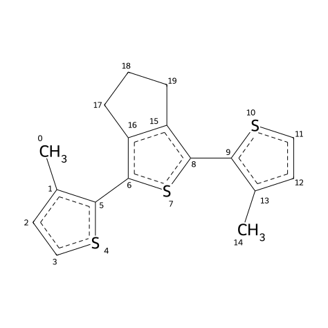 Cc1ccsc1-c1sc(-c2sccc2C)c2c1CCC2